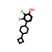 Oc1ccc(C2CCC(C3CCC3)CC2)c(F)c1F